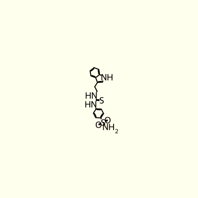 NS(=O)(=O)c1ccc(NC(=S)NCCc2c[nH]c3ccccc23)cc1